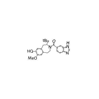 COc1cc2c(cc1O)CC(C(C)(C)C)N(C(=O)c1ccc3nc[nH]c3c1)CC2